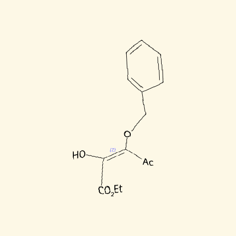 CCOC(=O)/C(O)=C(/OCc1ccccc1)C(C)=O